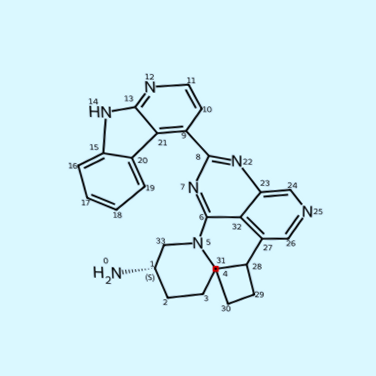 N[C@H]1CCCN(c2nc(-c3ccnc4[nH]c5ccccc5c34)nc3cncc(C4CCC4)c23)C1